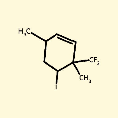 CC1C=CC(C)(C(F)(F)F)C(I)C1